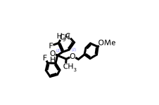 C/C=C\C(=C(/C)F)C(O)(c1ccccc1F)C(C)OCc1ccc(OC)cc1